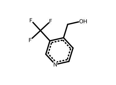 OCc1ccncc1C(F)(F)F